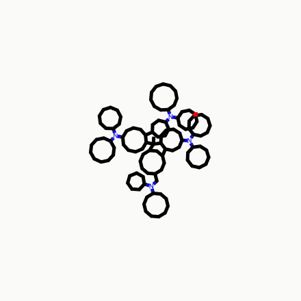 CC1(C2CCCCC(N(C3CCCCCCCCC3)C3CCCCCCCC3)CCCC2C2CCCC(N(C3CCCCCCCCCC3)C3CCCCCCC3)CC2)C2CCCCC(CN(C3CCCCCCCCC3)C3CCCCCC3)CCC(C2)C2CCC(N(C3CCCCCCCC3)C3CCCCCCCC3)CCCCC21